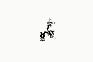 Cc1cc2c(cc1Cc1nc3c(N)nc(F)nc3n1CCCS(=O)(=O)NC(C)C)OCO2